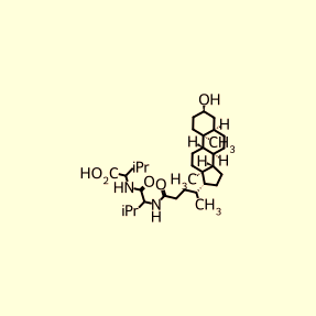 CC(C)C(NC(=O)C(NC(=O)CCC(C)[C@H]1CC[C@H]2[C@@H]3CC[C@@H]4C[C@H](O)CC[C@]4(C)[C@H]3CC[C@]12C)C(C)C)C(=O)O